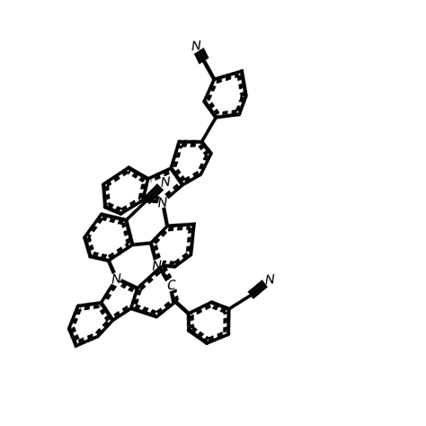 N#Cc1cccc(-c2ccc3c(c2)c2ccccc2n3-c2cccnc2-c2c(C#N)cccc2-n2c3ccccc3c3cc(-c4cccc(C#N)c4)ccc32)c1